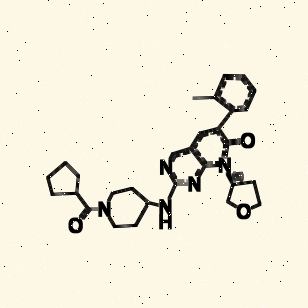 Cc1ccccc1-c1cc2cnc(NC3CCN(C(=O)C4CCCC4)CC3)nc2n([C@H]2CCOC2)c1=O